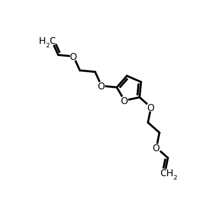 C=COCCOc1ccc(OCCOC=C)o1